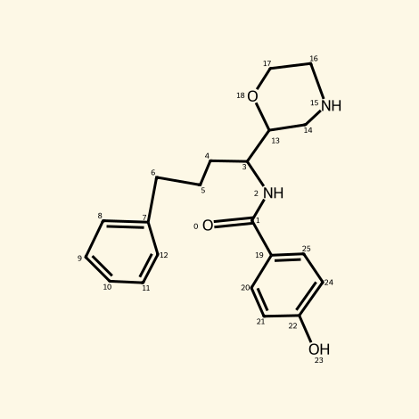 O=C(NC(CCCc1ccccc1)C1CNCCO1)c1ccc(O)cc1